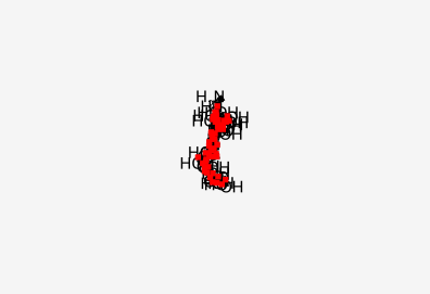 CC1OC(OC(=O)[C@]23CCC(C)(C)CC2C2=CCC4[C@@]5(C)CC[C@H](OC6OC(C(=O)O)C(O)C(OC7OCC(O)C(O)C7O)C6OC6OC(CO)C(O)C(O)C6O)[C@@](C)(CNCCCNCCCCNCCCN)C5CC[C@@]4(C)[C@]2(C)C[C@H]3O)C(OC2OC(C)C(OC3OCC(O)C(OC4OCC(O)(CO)C4O)C3O)C(C)C2O)C(O)C1O